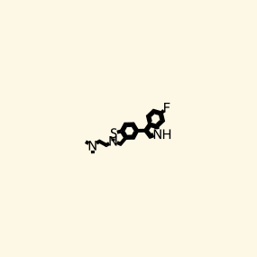 CN(C)CCN1Cc2cc(-c3c[nH]c4cc(F)ccc34)ccc2S1